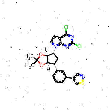 CC1(C)O[C@@H]2[C@H](O1)[C@@H](c1cccc(-c3cnsc3)c1)C[C@H]2n1ccc2c(Cl)nc(Cl)nc21